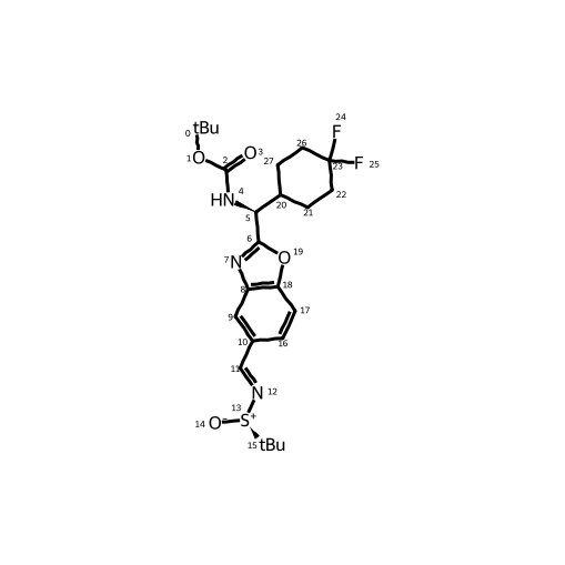 CC(C)(C)OC(=O)N[C@H](c1nc2cc(/C=N/[S@+]([O-])C(C)(C)C)ccc2o1)C1CCC(F)(F)CC1